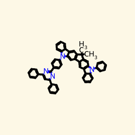 CC1(C)c2cc3c4ccccc4n(-c4ccc(-c5nc(-c6ccccc6)cc(-c6ccccc6)n5)cc4)c3cc2-c2cc3c4ccccc4n(-c4ccccc4)c3cc21